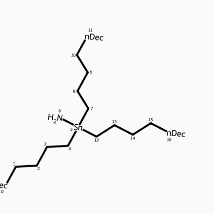 CCCCCCCCCCCCC[CH2][Sn]([NH2])([CH2]CCCCCCCCCCCCC)[CH2]CCCCCCCCCCCCC